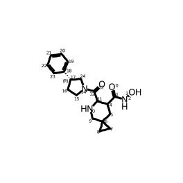 O=C(NO)C1CC2(CC2)CNC1C(=O)N1CC[C@H](c2ccccc2)C1